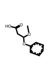 COC(CC(=O)O)Oc1ccccc1